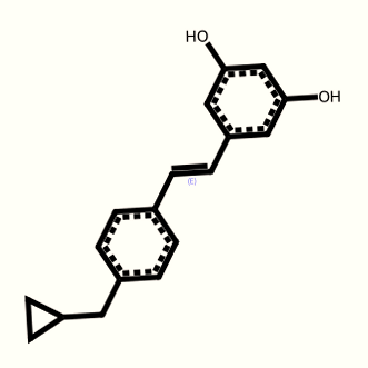 Oc1cc(O)cc(/C=C/c2ccc(CC3CC3)cc2)c1